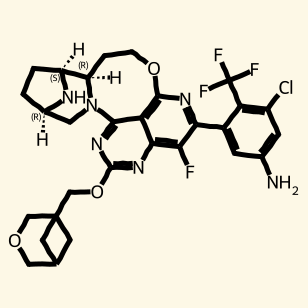 Nc1cc(Cl)c(C(F)(F)F)c(-c2nc3c4c(nc(OCC56COCC(C5)C6)nc4c2F)N2C[C@H]4CC[C@H](N4)[C@H]2CCO3)c1